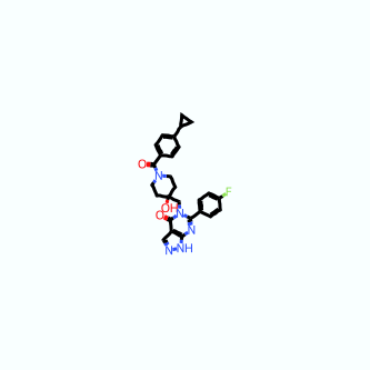 O=C(c1ccc(C2CC2)cc1)N1CCC(O)(Cn2c(-c3ccc(F)cc3)nc3[nH]ncc3c2=O)CC1